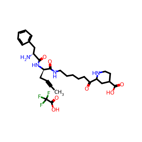 CC#CC[C@@H](NC(=O)[C@H](N)Cc1ccccc1)C(=O)NCCCCCC(=O)C1CC(C(=O)O)CCN1.O=C(O)C(F)(F)F